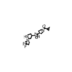 O=C(C1CC1)N1CCC(c2noc(C3CCNC(N4CCC(F)(F)C4)C3)n2)CC1